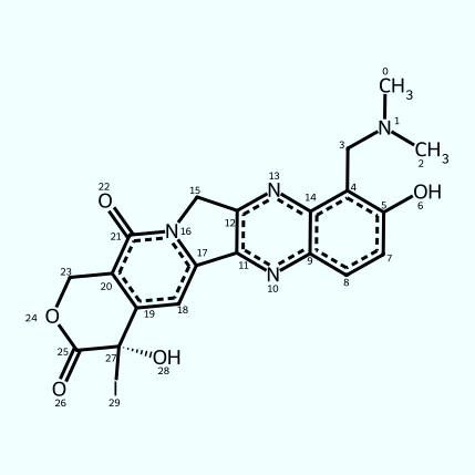 CN(C)Cc1c(O)ccc2nc3c(nc12)Cn1c-3cc2c(c1=O)COC(=O)[C@]2(O)I